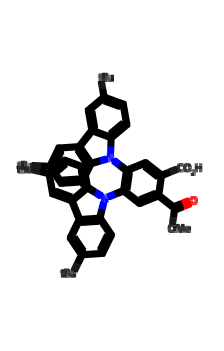 COC(=O)c1cc(-n2c3ccc(C(C)(C)C)cc3c3cc(C(C)(C)C)ccc32)c(-n2c3ccc(C(C)(C)C)cc3c3cc(C(C)(C)C)ccc32)cc1C(=O)O